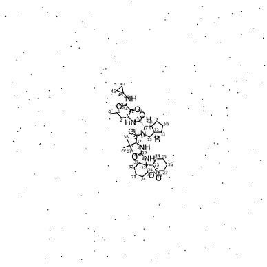 CCC[C@H](NC(=O)[C@@H]1[C@H]2CCC[C@H]2CN1C(=O)[C@@H](NC(=O)NC1([C@H]2CCCCS2(=O)=O)CCCCC1)C(C)(C)C)C(=O)C(=O)NC1CC1